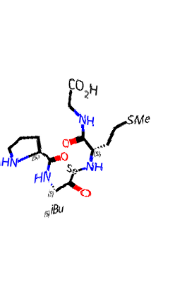 CC[C@H](C)[C@H](NC(=O)[C@@H]1CCCN1)C(=O)[Se]N[C@@H](CCSC)C(=O)NCC(=O)O